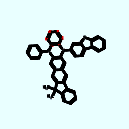 CC1(C)c2ccccc2-c2cc3cc(N(c4ccccc4)c4ccc5c(c4)sc4ccccc45)c(N(c4ccccc4)c4ccccc4)cc3cc21